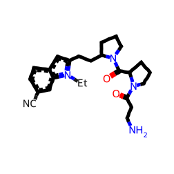 CCn1c(CCC2CCCN2C(=O)C2CCCN2C(=O)CCN)cc2ccc(C#N)cc21